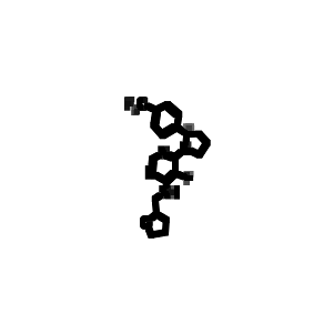 Fc1c(NCC2CCCO2)ncnc1N1CCC[C@@H]1c1ccc(C(F)(F)F)cc1